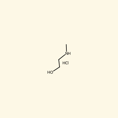 CNCCO.Cl